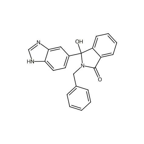 O=C1c2ccccc2C(O)(c2ccc3[nH]cnc3c2)N1Cc1ccccc1